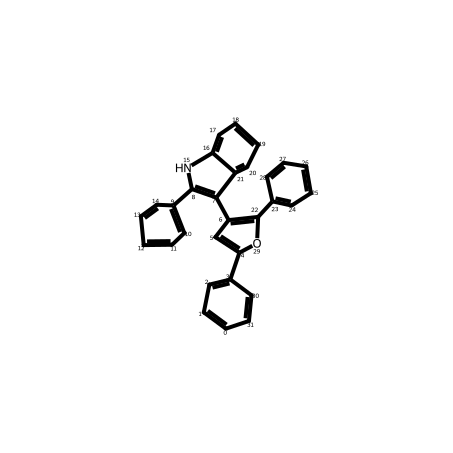 c1ccc(-c2cc(-c3c(-c4ccccc4)[nH]c4ccccc34)c(-c3ccccc3)o2)cc1